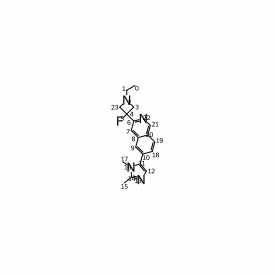 CCN1CC(F)(c2cc3cc(-c4cnc(C)n4C)ccc3cn2)C1